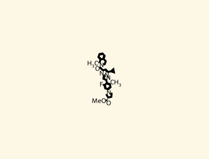 COC(=O)[C@H]1CCN(c2cc(C)c(-c3cc4nc(C(=O)N5CCc6ccccc6[C@H]5C)cc(C5CC5)n4n3)c(F)c2)C1